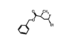 CC[C@H](F)C[C@H](C)C(=O)OCc1ccccc1